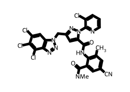 CNC(=O)c1cc(C#N)cc(C)c1NC(=O)c1cc(Cn2nnc3c(Cl)c(Cl)c(Cl)cc32)nn1-c1ncccc1Cl